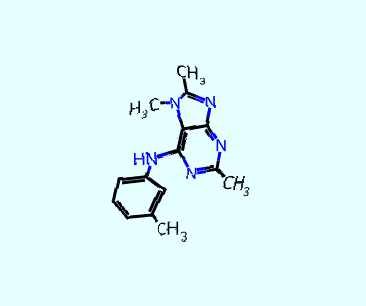 Cc1cccc(Nc2nc(C)nc3nc(C)n(C)c23)c1